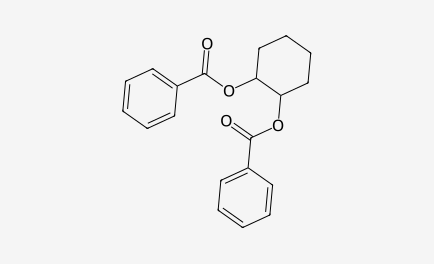 O=C(OC1CCCCC1OC(=O)c1ccccc1)c1ccccc1